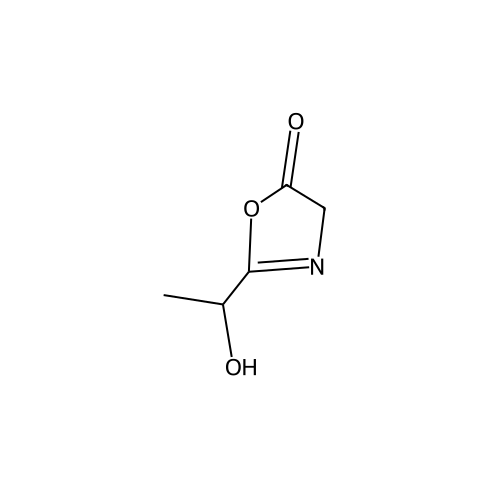 CC(O)C1=NCC(=O)O1